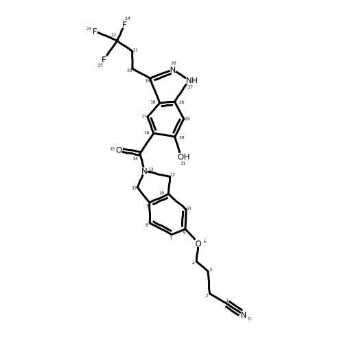 N#CCCCOc1ccc2c(c1)CN(C(=O)c1cc3c(CCC(F)(F)F)n[nH]c3cc1O)C2